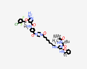 CC[C@H](NC(=O)[C@H]1C[C@@H](NCCCCCCCCC(=O)N2CCN(C(=O)c3ccc(NC(=O)c4cnc(N)c(O[C@H](C)c5c(F)ccc(Cl)c5F)c4)cc3)CC2)CN1C(=O)[C@H](NC(=O)[C@@H](C)NC)C(C)(C)C)c1ccccc1